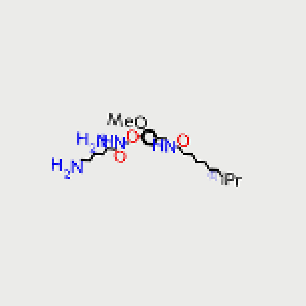 COc1cc(CNC(=O)CCCC/C=C/C(C)C)ccc1OCNC(=O)C(N)CCCCN